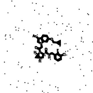 CC(=O)c1cn(CC(=O)N2[C@@H]3C[C@@H]3C[C@H]2C(=O)NCc2cccc(Cl)c2F)c2cc(OCC3CC3)ccc12